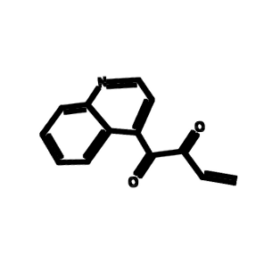 C=CC(=O)C(=O)c1ccnc2ccccc12